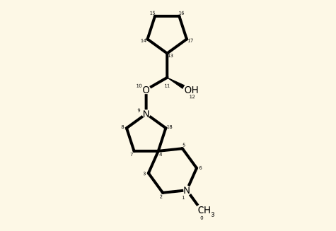 CN1CCC2(CC1)CCN(O[C@H](O)C1CCCC1)C2